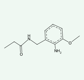 CCC(=O)NCc1cccc(OC)c1N